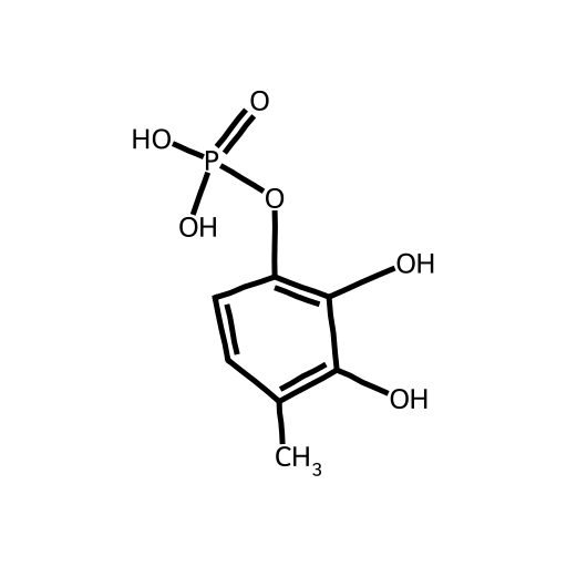 Cc1ccc(OP(=O)(O)O)c(O)c1O